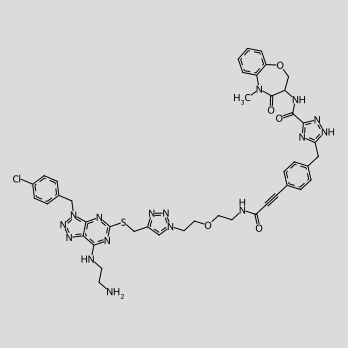 CN1C(=O)C(NC(=O)c2n[nH]c(Cc3ccc(C#CC(=O)NCCOCCn4cc(CSc5nc(NCCN)c6nnn(Cc7ccc(Cl)cc7)c6n5)nn4)cc3)n2)COc2ccccc21